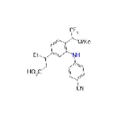 CCC(CC(=O)O)c1ccc(C(OC)C(F)(F)F)c(Nc2ccc(C#N)cc2)c1